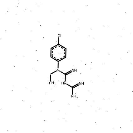 CCN(C(=N)NC(=N)N)c1ccc(Cl)cc1